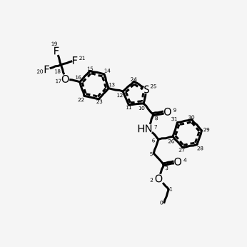 CCOC(=O)CC(NC(=O)c1cc(-c2ccc(OC(F)(F)F)cc2)cs1)c1ccccc1